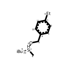 CCc1ccc(CO[SiH](C)[C@@H](C)CC)cc1